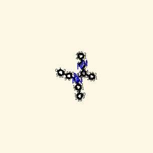 c1ccc(-c2ccc(-c3nc(-c4ccc(-c5ccccc5)cc4)nc(-c4cc(-c5ccccc5)cc(-c5cnc(-c6ccccc6)cn5)c4)n3)cc2)cc1